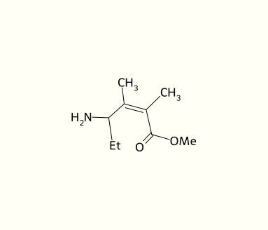 CCC(N)C(C)=C(C)C(=O)OC